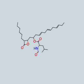 CC/C=C/C/C=C/C/C=C/CC(CC1OC(=O)C1CCCCCC)OC(=O)C(CC(C)C)NC=O